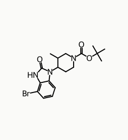 CC1CN(C(=O)OC(C)(C)C)CCC1n1c(=O)[nH]c2c(Br)cccc21